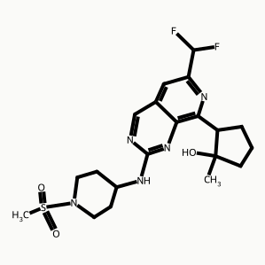 CC1(O)CCCC1c1nc(C(F)F)cc2cnc(NC3CCN(S(C)(=O)=O)CC3)nc12